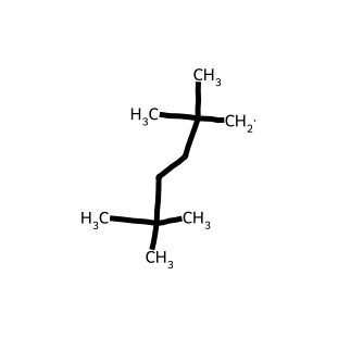 [CH2]C(C)(C)CCC(C)(C)C